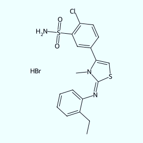 Br.CCc1ccccc1/N=c1/scc(-c2ccc(Cl)c(S(N)(=O)=O)c2)n1C